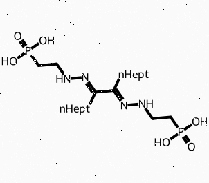 CCCCCCCC(=N\NCCP(=O)(O)O)/C(CCCCCCC)=N/NCCP(=O)(O)O